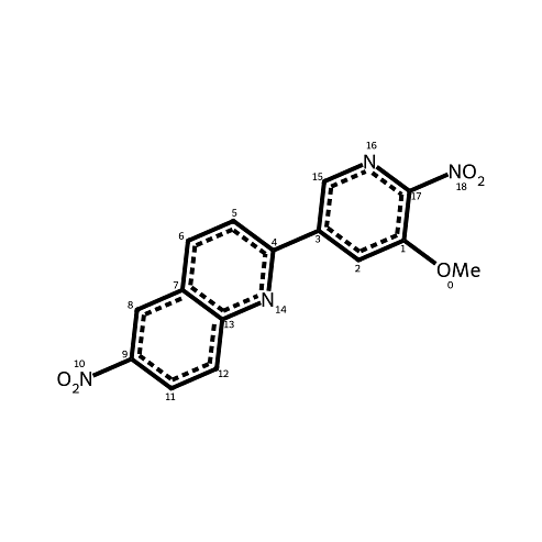 COc1cc(-c2ccc3cc([N+](=O)[O-])ccc3n2)cnc1[N+](=O)[O-]